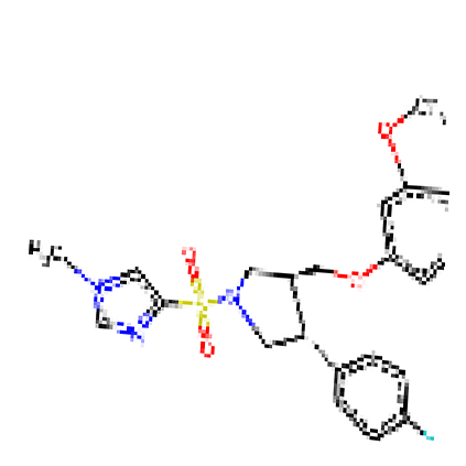 Cn1cnc(S(=O)(=O)N2C[C@@H](COc3cccc(OC(F)(F)F)c3)[C@H](c3ccc(F)cc3)C2)c1